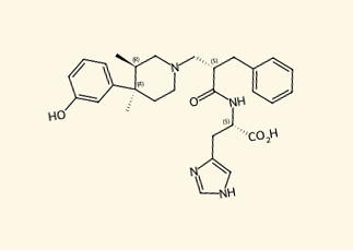 C[C@H]1CN(C[C@H](Cc2ccccc2)C(=O)N[C@@H](Cc2c[nH]cn2)C(=O)O)CC[C@@]1(C)c1cccc(O)c1